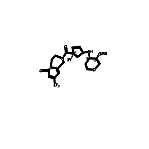 CO[C@H]1COCC[C@H]1NC1C=C[C@@](C(=O)N2CCn3c(cc(C(F)(F)F)cc3=O)C2)(C(C)C)C1